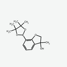 CC1(O)COc2c(B3OC(C)(C)C(C)(C)O3)cccc21